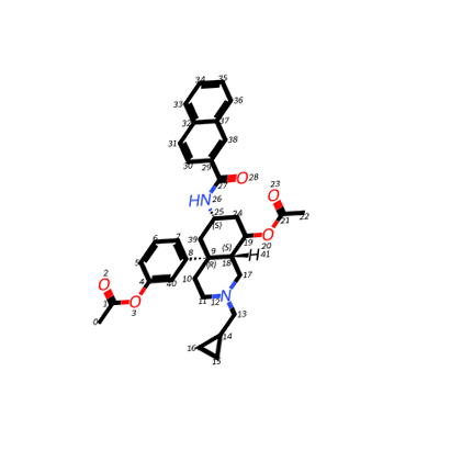 CC(=O)Oc1cccc([C@@]23CCN(CC4CC4)C[C@H]2C(OC(C)=O)C[C@@H](NC(=O)c2ccc4ccccc4c2)C3)c1